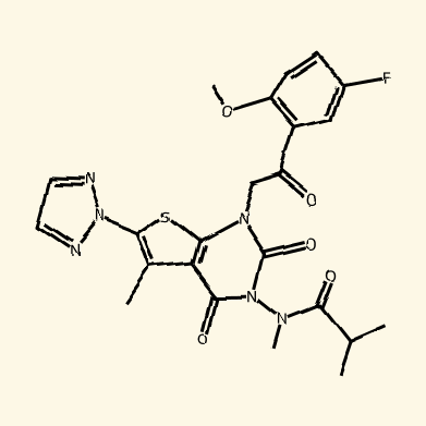 COc1ccc(F)cc1C(=O)Cn1c(=O)n(N(C)C(=O)C(C)C)c(=O)c2c(C)c(-n3nccn3)sc21